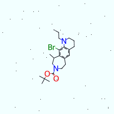 CCCN1CCCc2cc3c(c(Br)c21)C(C)CN(C(=O)OC(C)(C)C)CC3